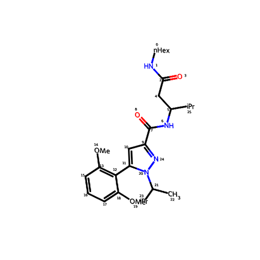 CCCCCCNC(=O)CC(NC(=O)c1cc(-c2c(OC)cccc2OC)n(C(C)C(C)C)n1)C(C)C